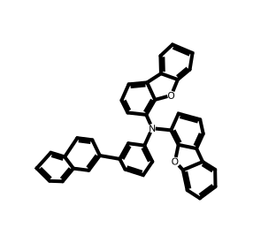 c1cc(-c2ccc3ccccc3c2)cc(N(c2cccc3c2oc2ccccc23)c2cccc3c2oc2ccccc23)c1